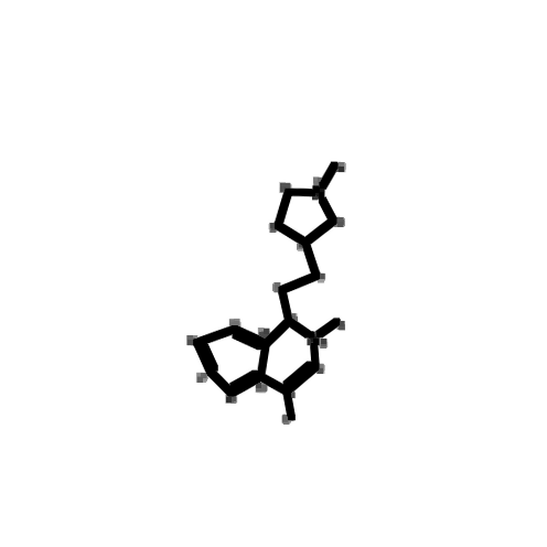 CC1=CN(C)C(CCC2CCN(C)C2)c2ccccc21